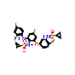 O=S(=O)(Nc1cc(Oc2cc(F)cc(Nc3ccc(I)cc3F)c2NS(=O)(=O)C2CC2)ccc1F)C1CC1